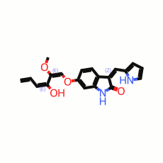 C=C/C=C(O)\C(=C/Oc1ccc2c(c1)NC(=O)/C2=C\c1ccc[nH]1)OC